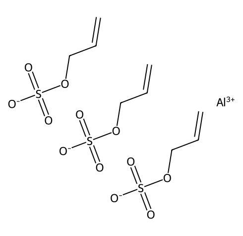 C=CCOS(=O)(=O)[O-].C=CCOS(=O)(=O)[O-].C=CCOS(=O)(=O)[O-].[Al+3]